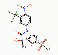 CC(O)(C(=O)Nc1ccc([N+](=O)[O-])c(C(F)(F)F)c1)c1ccc(S(C)(=O)=O)s1